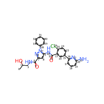 CC(O)CNC(=O)c1cc(NC(=O)c2cc(-c3cccc(N)n3)ccc2Cl)n(-c2ccccc2)n1